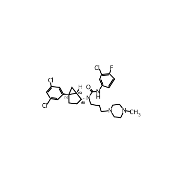 CN1CCN(CCCN(C(=O)Nc2ccc(F)c(Cl)c2)[C@@H]2CC[C@]3(c4cc(Cl)cc(Cl)c4)C[C@H]23)CC1